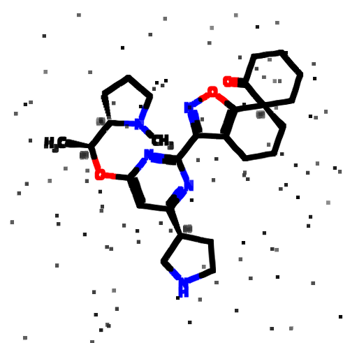 C[C@H](Oc1cc([C@H]2CCNC2)nc(-c2noc3c2CCC[C@@]32CCCCC2=O)n1)[C@@H]1CCCN1C